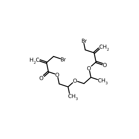 C=C(CBr)C(=O)OCC(C)OCC(C)OC(=O)C(=C)CBr